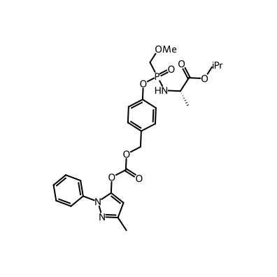 COCP(=O)(N[C@@H](C)C(=O)OC(C)C)Oc1ccc(COC(=O)Oc2cc(C)nn2-c2ccccc2)cc1